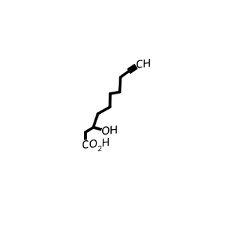 C#CCCCCCC(O)CC(=O)O